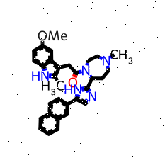 COc1ccc2[nH]c(C)c(CC(=O)N3CCN(C)CCC3c3ncc(-c4ccc5ccccc5c4)[nH]3)c2c1